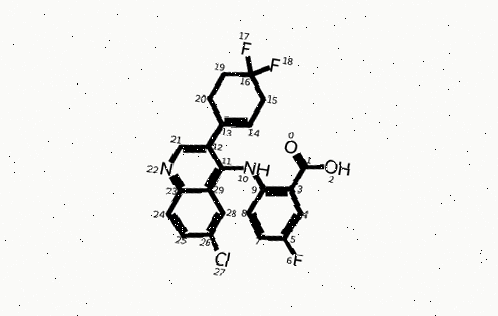 O=C(O)c1cc(F)ccc1Nc1c(C2=CCC(F)(F)CC2)cnc2ccc(Cl)cc12